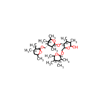 CC1C[C@H](C)C(C)[C@H](OC[C@H]2C(C)[C@H](OC[C@H]3C(CO[C@@H]4OC(C)[C@H](C)[C@@H](C)C4C)OC(O)C(C)[C@@H]3C)OC(C)[C@@H]2C)O1